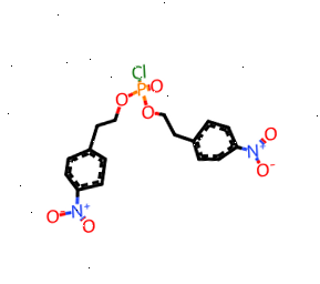 O=[N+]([O-])c1ccc(CCOP(=O)(Cl)OCCc2ccc([N+](=O)[O-])cc2)cc1